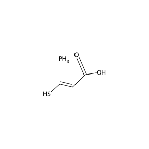 O=C(O)C=CS.P